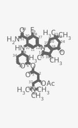 CC(=O)OC(CC(=O)OC1CC(Nc2cc(-n3c(C)c(C)c4c3CC(C)(C)CC4=O)cc(F)c2C(N)=O)CCO1)C[N+](C)(C)C